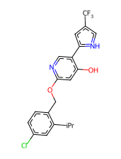 CC(C)c1cc(Cl)ccc1COc1cc(O)c(-c2cc(C(F)(F)F)c[nH]2)cn1